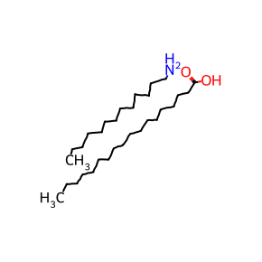 CCCCCCCCCCCCCCCCCC(=O)O.CCCCCCCCCCCCCN